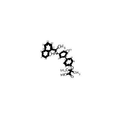 C[C@@H](N[C@H]1CC[C@@H](c2ccc(OC(C)(C)C(=O)O)cc2)C1)c1cccc2ccccc12.Cl